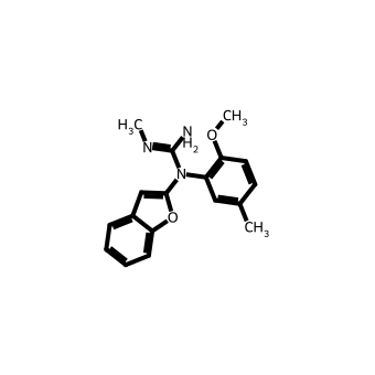 CN=C(N)N(c1cc2ccccc2o1)c1cc(C)ccc1OC